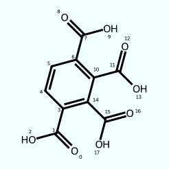 O=C(O)c1ccc(C(=O)O)c(C(=O)O)c1C(=O)O